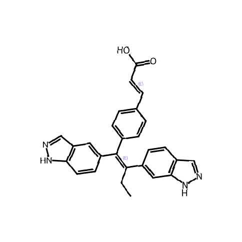 CC/C(=C(/c1ccc(/C=C/C(=O)O)cc1)c1ccc2[nH]ncc2c1)c1ccc2cn[nH]c2c1